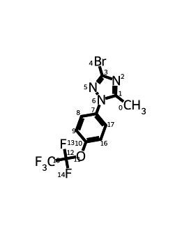 Cc1nc(Br)nn1-c1ccc(OC(F)(F)C(F)(F)F)cc1